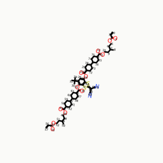 C=CC(=O)OCCC(C)CCOC(=O)C1CCC(C2CCC(C(=O)Oc3cc(C(C)(C)C)c(OC(=O)C4CCC(C5CCC(C(=O)OCCC(C)CCOC(=O)C=C)CC5)CC4)c4c3SC(=C(C#N)C#N)S4)CC2)CC1